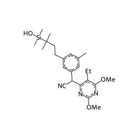 CCc1c(OC)nc(OC)nc1C(C#N)c1cc(C)cc(CCC(C)(C)[Si](C)(C)O)c1